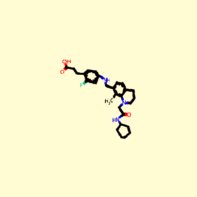 Cc1c(CNc2ccc(CCC(=O)O)c(F)c2)ccc2c1N(CC(=O)NC1CCCCC1)CCC2